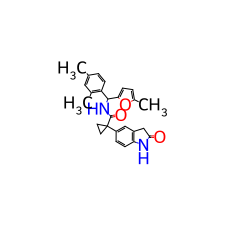 Cc1ccc(C(NC(=O)C2(c3ccc4c(c3)CC(=O)N4)CC2)c2ccc(C)o2)c(C)c1